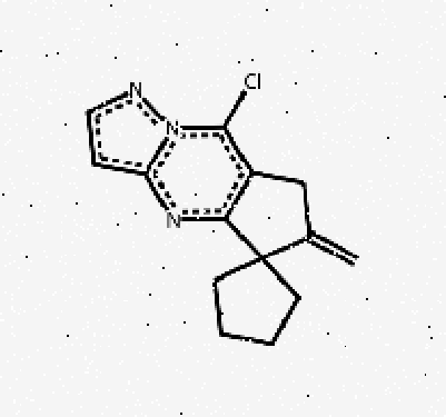 C=C1Cc2c(nc3ccnn3c2Cl)C12CCCC2